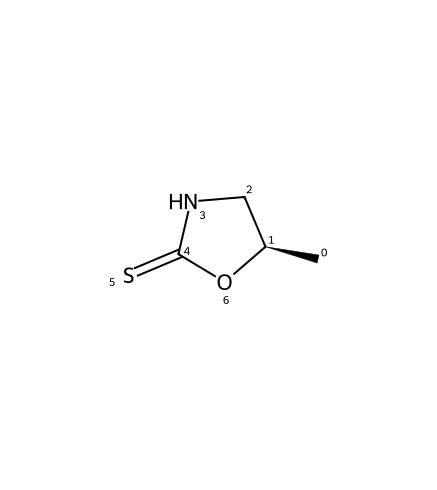 C[C@@H]1CNC(=S)O1